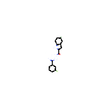 Cl.N=C(NNC(=O)c1cc2cc(Cl)ccc2[nH]1)c1cccc(F)c1